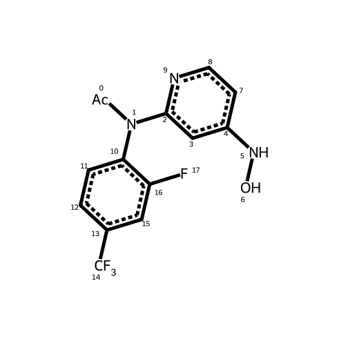 CC(=O)N(c1cc(NO)ccn1)c1ccc(C(F)(F)F)cc1F